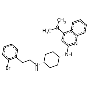 CN(C)c1nc(N[C@H]2CC[C@@H](NCCc3ccccc3Br)CC2)nc2ccccc12